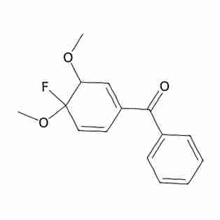 COC1C=C(C(=O)c2ccccc2)C=CC1(F)OC